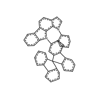 c1ccc(-n2ccc3ccc4c5ccccc5n(-c5ccc6c(c5)C5(c7ccccc7-c7ccccc75)c5ccccc5-6)c4c32)cc1